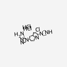 Cl.Cl.NCc1nncn1-c1ccc2nc(N3CCNCC3)c(Cl)cc2c1